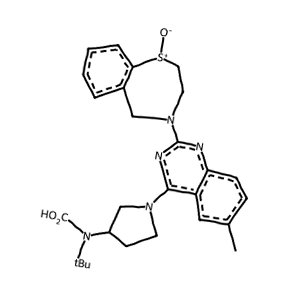 Cc1ccc2nc(N3CC[S+]([O-])c4ccccc4C3)nc(N3CCC(N(C(=O)O)C(C)(C)C)C3)c2c1